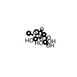 O=C(NC1=CN(Cc2ccccc2)C=CC=C1C(=O)c1ccc(C(=O)c2cc(O)cc(O)c2O)cc1)c1ccc(O)cc1